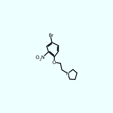 O=[N+]([O-])c1cc(Br)ccc1OCCN1CCCC1